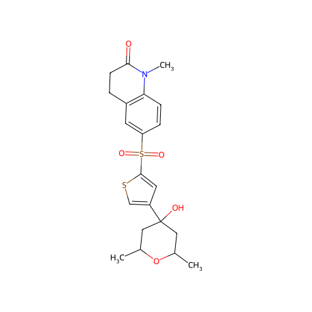 CC1CC(O)(c2csc(S(=O)(=O)c3ccc4c(c3)CCC(=O)N4C)c2)CC(C)O1